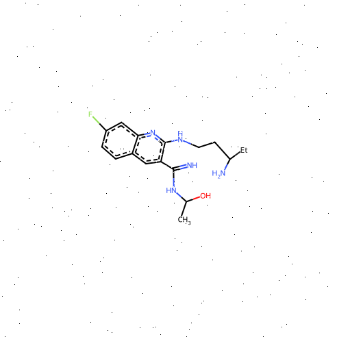 CCC(N)CCNc1nc2cc(F)ccc2cc1C(=N)NC(C)O